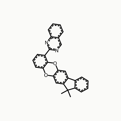 CC1(C)c2ccccc2-c2cc3c(cc21)Oc1cccc(-c2ncc4ccccc4n2)c1O3